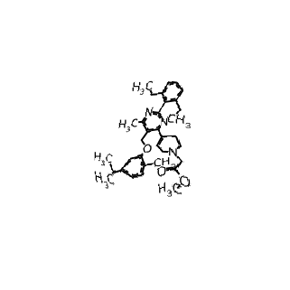 CCc1cccc(CC)c1-c1nc(C)c(COc2cc(C(C)C)ccc2C)c(C2=CCN(CC(=O)OC)CC2)n1